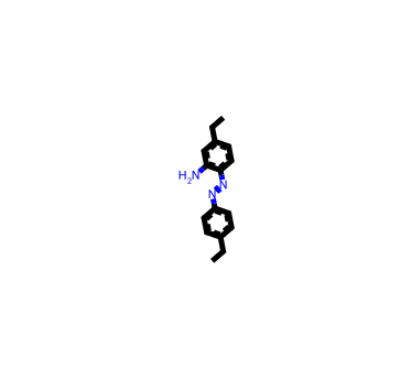 CCc1ccc(N=Nc2ccc(CC)cc2N)cc1